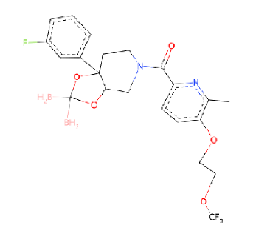 BC1(B)OC2CN(C(=O)c3ccc(OCCOC(F)(F)F)c(C)n3)CCC2(c2cccc(F)c2)O1